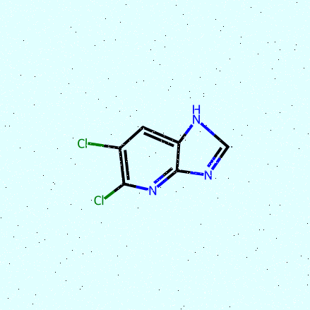 Clc1cc2[nH][c]nc2nc1Cl